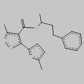 CC(CCc1ccccc1)NC(=O)c1c(-c2ccc(Cl)s2)noc1N